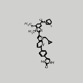 COc1cc(C(=O)N2CC3CCC2[C@@H]3N)cc2nc(-c3cc4ccc(-c5ccc(-c6c[nH]c(=O)[nH]6)cc5)nc4n3CC3CC3)n(C)c12